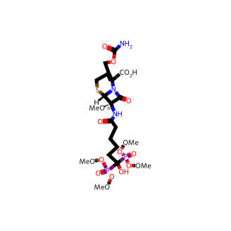 COOP(=O)(OOC)C(O)(CCCCC(=O)N[C@]1(OC)C(=O)N2C(C(=O)O)=C(COC(N)=O)CS[C@H]21)P(=O)(OOC)OOC